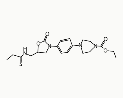 CCOC(=O)N1CCN(c2ccc(N3CC(CNC(=S)CC)OC3=O)cc2)CC1